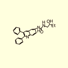 CC[C@H](O)CNC(=O)Nc1ccc2nc(-c3ccccc3)c(-c3ccccc3)cc2c1